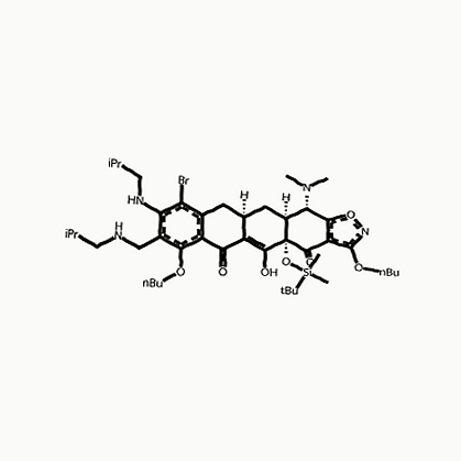 CCCCOc1noc2c1C(=O)[C@@]1(O[Si](C)(C)C(C)(C)C)C(O)=C3C(=O)c4c(c(Br)c(NCC(C)C)c(CNCC(C)C)c4OCCCC)C[C@H]3C[C@H]1[C@@H]2N(C)C